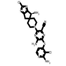 N#Cc1nc(Sc2ccnc(N)c2Cl)c(N)nc1N1CCC2(CC1)Cc1sc(Cl)nc1[C@H]2N